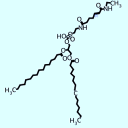 CCCCCCCCCCCCCCCC(=O)OCC(COP(=O)(O)OCCNC(=O)CCC/C=C/C(=O)NCC)OC(=O)CCCCCCCCCCCCCCC